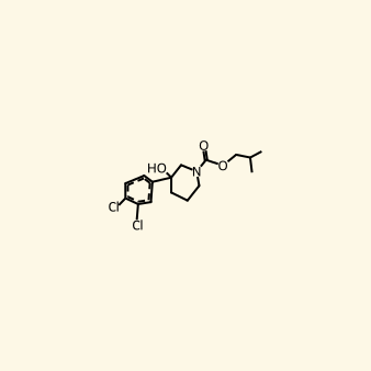 CC(C)COC(=O)N1CCCC(O)(c2ccc(Cl)c(Cl)c2)C1